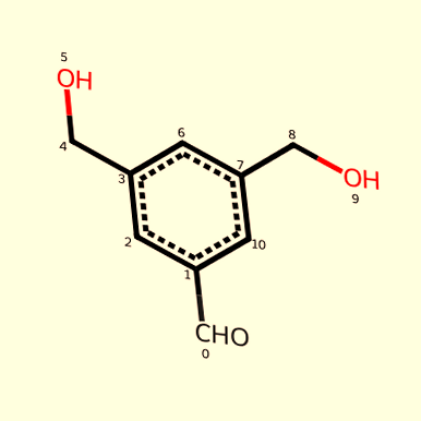 O=Cc1cc(CO)cc(CO)c1